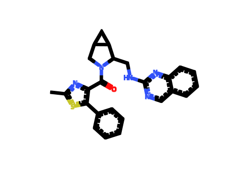 Cc1nc(C(=O)N2CC3CC3C2CNc2ncc3ccccc3n2)c(-c2ccccc2)s1